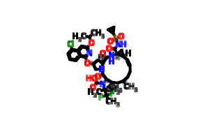 CC(C)Oc1cc2c(Cl)cccc2c(O[C@@H]2C[C@H]3C(=O)N[C@]4(C(=O)NS(=O)(=O)C5CC5)C[C@H]4C=CCC[C@@H](C)C[C@@H](C)[C@H](N(C(=O)O)C(C)(C)C(C)(F)F)C(=O)N3C2)n1